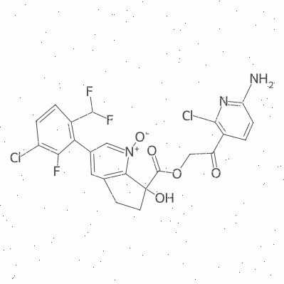 Nc1ccc(C(=O)COC(=O)C2(O)CCc3cc(-c4c(C(F)F)ccc(Cl)c4F)c[n+]([O-])c32)c(Cl)n1